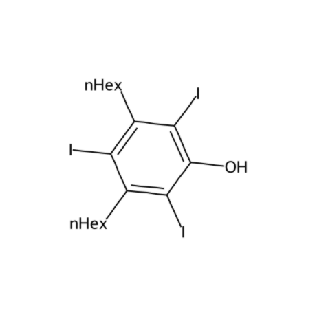 CCCCCCc1c(I)c(O)c(I)c(CCCCCC)c1I